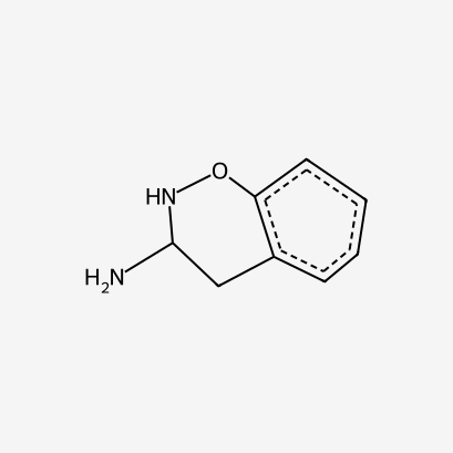 NC1Cc2ccccc2ON1